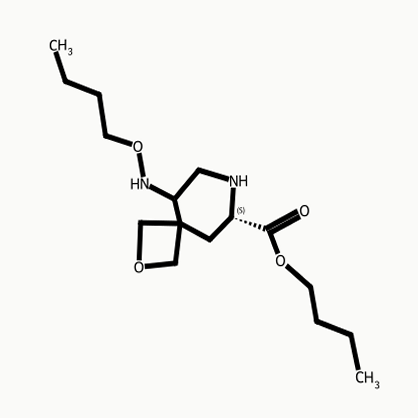 CCCCONC1CN[C@H](C(=O)OCCCC)CC12COC2